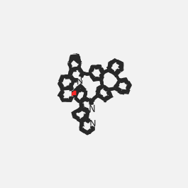 c1ccc2c(c1)-c1ccccc1-c1ccc(-c3nc4c(ccc5cccnc54)c4c3C3CCC4C3)cc1-c1cc(-c3nc4c(ccc5cccnc54)c4c3C3CCC4C3)ccc1-2